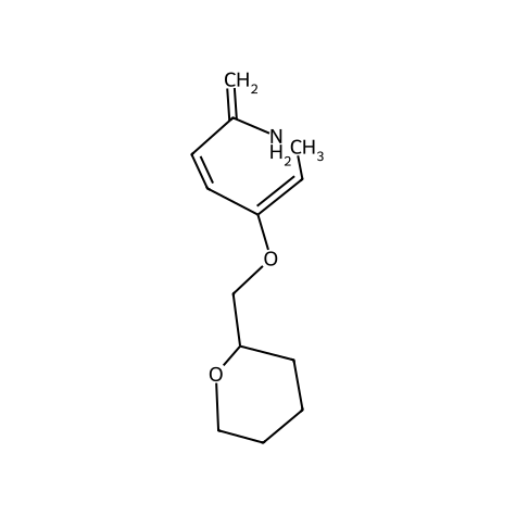 C=C(N)/C=C\C(=C/C)OCC1CCCCO1